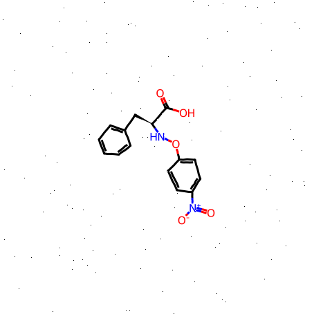 O=C(O)[C@H](Cc1ccccc1)NOc1ccc([N+](=O)[O-])cc1